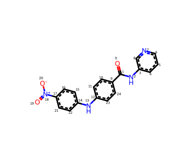 O=C(Nc1cccnc1)c1ccc(Nc2ccc([N+](=O)[O-])cc2)cc1